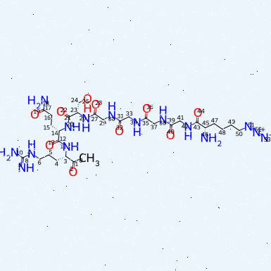 CC(=O)[C@H](CCCNC(=N)N)NC(=O)[C@H](CCC(N)=O)NC(=O)[C@H](CO)NC(=O)CNC(=O)CNC(=O)CNC(=O)CNC(=O)[C@@H](N)CCCCN=[N+]=[N-]